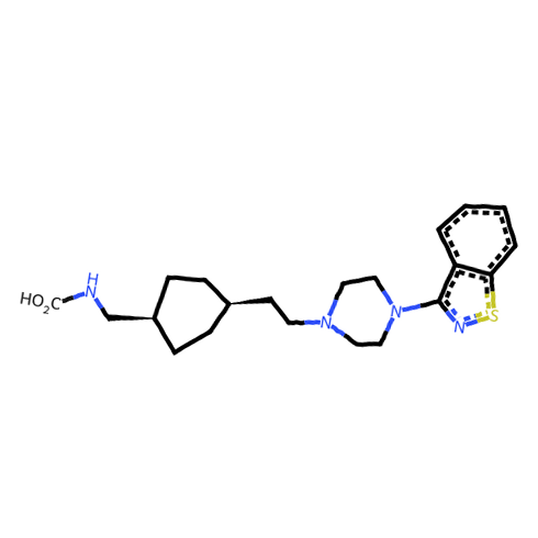 O=C(O)NC[C@H]1CC[C@@H](CCN2CCN(c3nsc4ccccc34)CC2)CC1